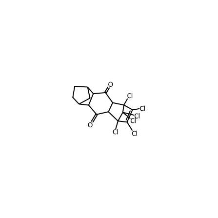 O=C1C2C3CCC(C3)C2C(=O)C2C1C1(Cl)C(Cl)=C(Cl)C2(Cl)C1(Cl)Cl